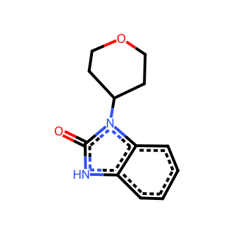 O=c1[nH]c2ccccc2n1C1CCOCC1